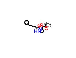 CCC(C)(C)C(=O)C(=O)C1CCCNN1C(=O)CCCCCc1ccccc1